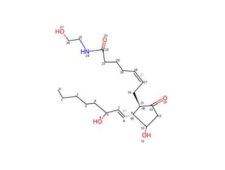 CCCCCC(O)/C=C/[C@H]1C(O)CC(=O)[C@@H]1C/C=C\CCCC(=O)NCCO